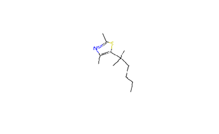 CCCCC(C)(C)c1sc(C)nc1C